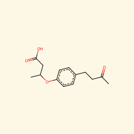 CC(=O)CCc1ccc(OC(C)CC(=O)O)cc1